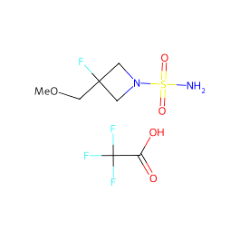 COCC1(F)CN(S(N)(=O)=O)C1.O=C(O)C(F)(F)F